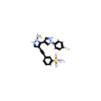 Cn1ncc(C#Cc2cccc(S(N)(=O)=O)c2)c1-c1cnn(-c2ccc(F)cc2)c1